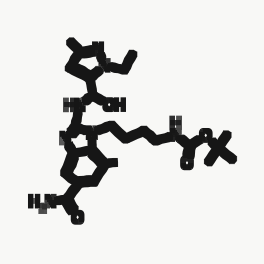 CCn1nc(C)cc1C(O)Nc1nc2cc(C(N)=O)cc(C)c2n1CCCCNC(=O)OC(C)(C)C